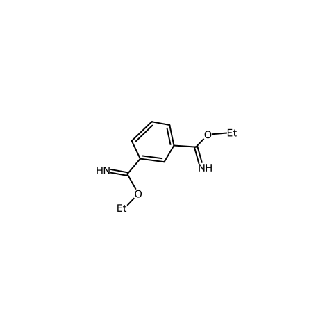 CCOC(=N)c1cccc(C(=N)OCC)c1